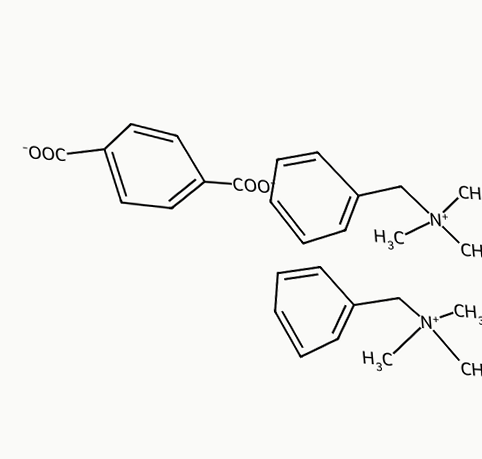 C[N+](C)(C)Cc1ccccc1.C[N+](C)(C)Cc1ccccc1.O=C([O-])c1ccc(C(=O)[O-])cc1